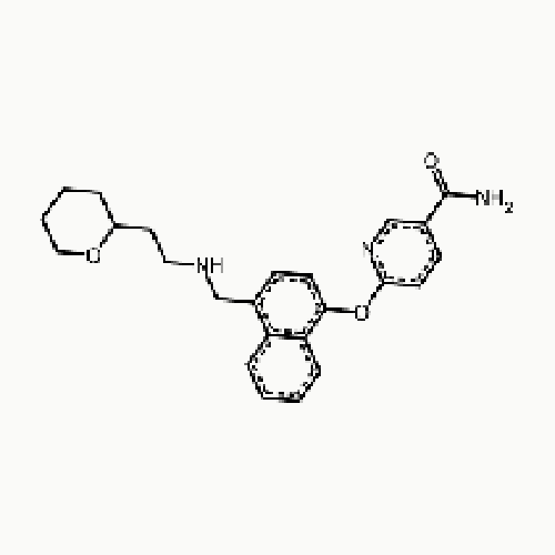 NC(=O)c1ccc(Oc2ccc(CNCCC3CCCCO3)c3ccccc23)nc1